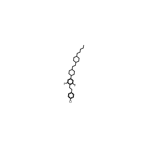 CCCCCC1CCC(CCC2CCC(c3cc(F)c(CCc4ccc(Cl)cc4)c(F)c3)CC2)CC1